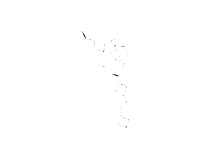 CO[C@H]1[C@H](C(C)(C)OCC=C(C)C)[C@]2(CC[C@H]1OC(=O)N1CC(CCN3CC(C)(O)C3)C1)CO2